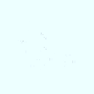 COCOc1ccccc1-c1cc2c(C)c(C(C)OS(C)(=O)=O)n(COCC[Si](C)(C)C)c2nn1